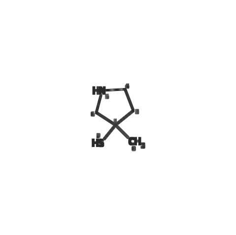 CC1(S)CCNC1